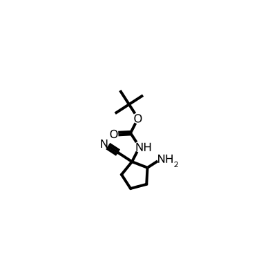 CC(C)(C)OC(=O)NC1(C#N)CCCC1N